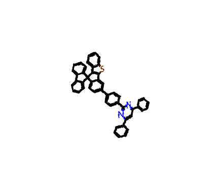 c1ccc(-c2cc(-c3ccccc3)nc(-c3ccc(-c4ccc5c(c4)-c4sc6ccccc6c4C54c5ccccc5-c5ccccc54)cc3)n2)cc1